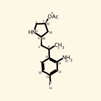 CC(=O)O[C@@H]1CN[C@H](CC(C)c2ccc(F)cc2N)C1